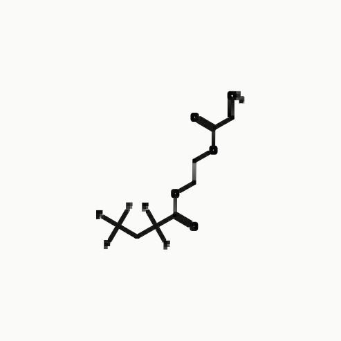 C=CC(=O)OCCOC(=O)C(F)(F)CC(F)(F)F